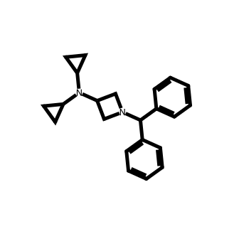 c1ccc(C(c2ccccc2)N2CC(N(C3CC3)C3CC3)C2)cc1